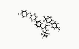 COc1ccc([C@]2(CCN(Cc3ccc([C@H]4CC[C@@H](CN5CCNCC5)CC4)cc3)CC(C)(C)C(F)(F)F)CCOC(C)(C)C2)cc1